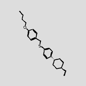 CCCCOc1ccc(CSc2ccc([C@H]3CC[C@H](CC)CC3)cc2)cc1